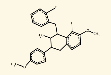 COc1ccc(C2Cc3ccc(OC)c(F)c3C(Cc3ccccc3F)C2C)cc1